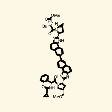 CC[C@H](C)[C@H](NC(=O)OC)C(=O)N1[C@@H]2CC2C[C@H]1c1nc2ccc3cc(-c4ccc5c(ccc6nc([C@@H]7C[C@H](COC)CN7C(=O)[C@H](NC(=O)C7CC7)c7ccccc7)[nH]c65)c4)ccc3c2[nH]1